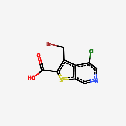 O=C(O)c1sc2cncc(Cl)c2c1CBr